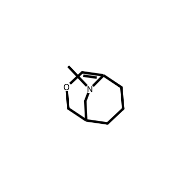 CN1CC2CCCC1=COC2